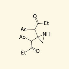 CCC(=O)C(C(C)=O)C1(C(C(C)=O)C(=O)CC)CN1